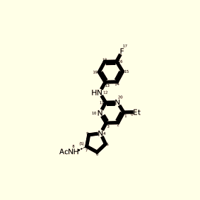 CCc1cc(N2CC[C@H](NC(C)=O)C2)nc(Nc2ccc(F)cc2)n1